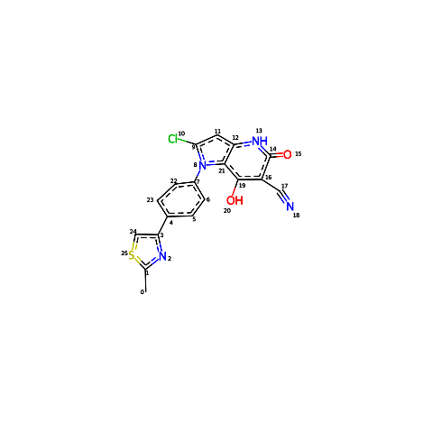 Cc1nc(-c2ccc(-n3c(Cl)cc4[nH]c(=O)c(C#N)c(O)c43)cc2)cs1